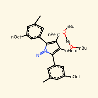 CCCCCCCCc1cc(C)cc(C2=C(CCCCC)C(CCCCCCC)=C(c3cc(C)cc(CCCCCCCC)c3)[N+]2=[N-])c1.CCCC[O][Ni][O]CCCC